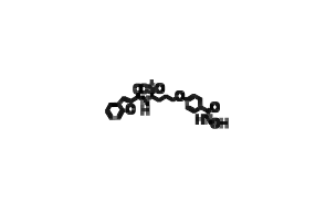 CS(=O)(=O)C(CCCOc1ccc(C(=O)NO)cc1)NC(=O)c1cc2ccccc2o1